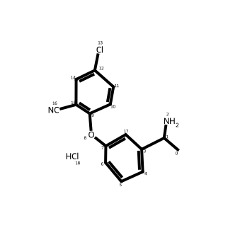 CC(N)c1cccc(Oc2ccc(Cl)cc2C#N)c1.Cl